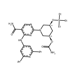 CC[Si](CC)(CC)O[C@H]1C[C@@H](OC(N)=O)CN(c2ncc(C(N)=O)c(Nc3cc(C(C)C)nc(C(C)C)c3)n2)C1